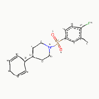 Cc1cc(S(=O)(=O)N2CCC(C3C=CCC=C3)CC2)ccc1F